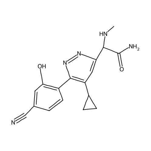 CNC(C(N)=O)c1cc(C2CC2)c(-c2ccc(C#N)cc2O)nn1